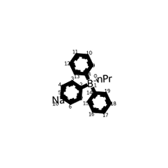 CCC[B-](c1ccccc1)(c1ccccc1)c1ccccc1.[Na+]